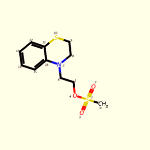 CS(=O)(=O)OCCN1CCSc2ccccc21